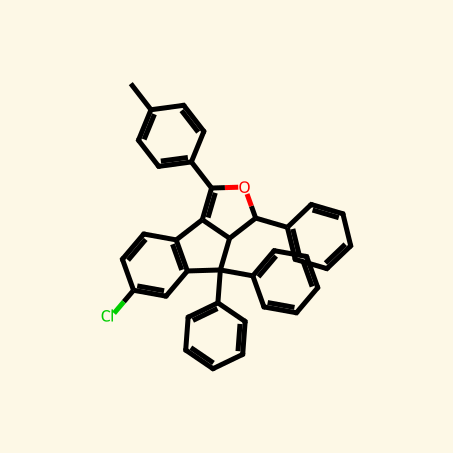 Cc1ccc(C2=C3c4ccc(Cl)cc4C(c4ccccc4)(c4ccccc4)C3C(c3ccccc3)O2)cc1